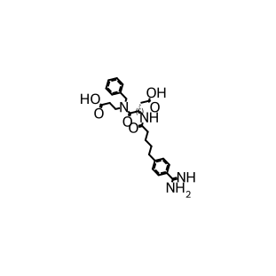 N=C(N)c1ccc(CCCCC(=O)N[C@@H](CC(=O)O)C(=O)N(CCC(=O)O)Cc2ccccc2)cc1